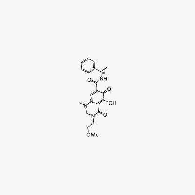 COCCN1CN(C)n2cc(C(=O)N[C@H](C)c3ccccc3)c(=O)c(O)c2C1=O